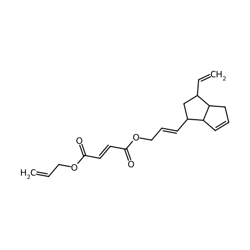 C=CCOC(=O)C=CC(=O)OCC=CC1CC(C=C)C2CC=CC12